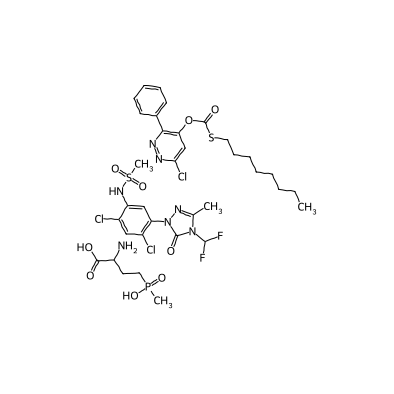 CCCCCCCCSC(=O)Oc1cc(Cl)nnc1-c1ccccc1.CP(=O)(O)CCC(N)C(=O)O.Cc1nn(-c2cc(NS(C)(=O)=O)c(Cl)cc2Cl)c(=O)n1C(F)F